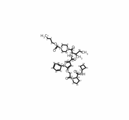 CCCCOC(=O)N1CCN(C(=O)[C@@H](NC(=O)c2cc(OCC(=O)N3CCCC3C(=O)NC3CCC3)n(-c3ccccc3)n2)[C@H](C)CC)CC1